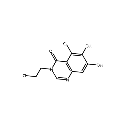 O=c1c2c(Cl)c(O)c(O)cc2ncn1CCCl